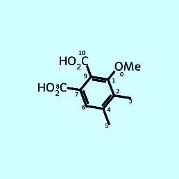 COc1c(C)c(C)cc(C(=O)O)c1C(=O)O